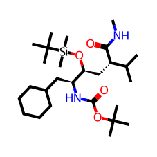 CNC(=O)[C@@H](C[C@H](O[Si](C)(C)C(C)(C)C)[C@H](CC1CCCCC1)NC(=O)OC(C)(C)C)C(C)C